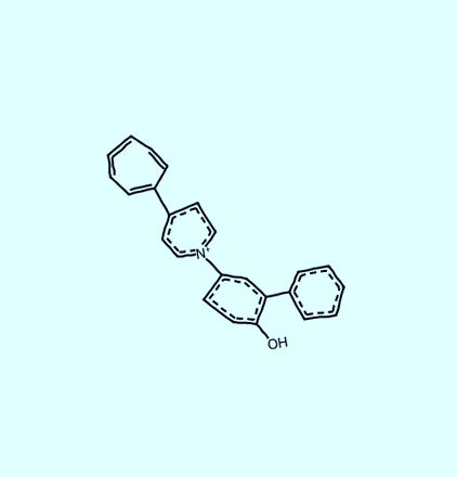 Oc1ccc(-[n+]2ccc(C3=CC=C=CC=C3)cc2)cc1-c1ccccc1